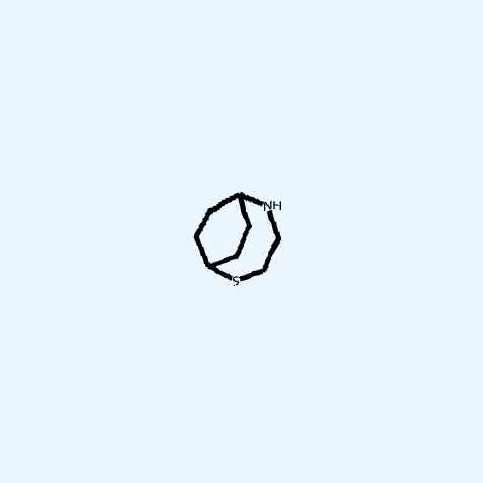 C1CSC2CCC(CC2)N1